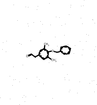 Cc1cc(CC=O)cc(C)c1OCc1ccccc1